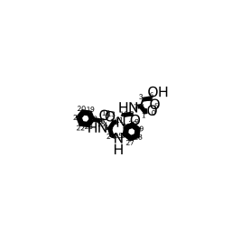 O=C[C@H](CC(=O)O)NC(=O)CN1C(=O)[C@@H](NC(=O)c2ccccc2)CNc2ccccc21